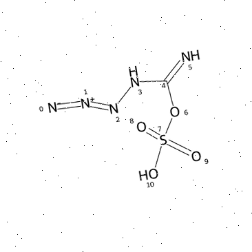 [N-]=[N+]=NNC(=N)OS(=O)(=O)O